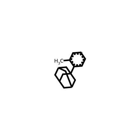 Cc1c[c]ccc1C12CC3CC(CC(C3)C1)C2